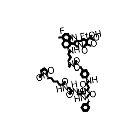 CC[C@@]1(O)C(=O)OCc2c1cc1n(c2=O)Cc2c-1nc1cc(F)c(C)c3c1c2[C@@H](NCCCN(C)C(=O)OCc1ccc(NC(=O)CNC(=O)[C@H](Cc2ccccc2)NC(=O)CNC(=O)CNC(=O)CCCCCN2C(=O)C=CC2=O)cc1)CC3